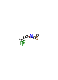 CCc1cc(-c2ccc3ccc(-c4ccc(-c5ccc6sc7ccccc7c6c5)nc4)cc3c2)cc(C(F)(F)F)c1